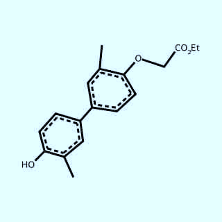 CCOC(=O)COc1ccc(-c2ccc(O)c(C)c2)cc1C